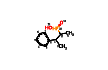 CC(c1ccccc1)C(C)[PH](=O)O